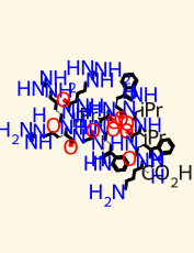 CC(C)[C@H](NC(=O)[C@H](Cc1c[nH]c2ccccc12)NC(=O)CNC(=O)[C@H](CCCNC(=N)N)NC(=O)[C@H](CCCNC(=N)N)NC(=O)[C@@H](N)CCCNC(=N)N)C(=O)N[C@@H](Cc1c[nH]c2ccccc12)C(=O)N[C@H](C(=O)N[C@H](C(=O)N[C@@H](Cc1c[nH]c2ccccc12)C(=O)N[C@@H](CCCCN)C(=O)O)C(C)C)C(C)C